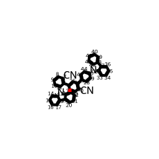 N#Cc1ccc(-c2c(C#N)cccc2-n2c3ccccc3c3ccccc32)cc1-c1ccc(-n2c3ccccc3c3ccccc32)cc1